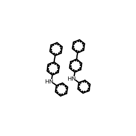 c1ccc(Nc2ccc(-c3ccccc3)cc2)cc1.c1ccc(Nc2ccc(-c3ccccc3)cc2)cc1